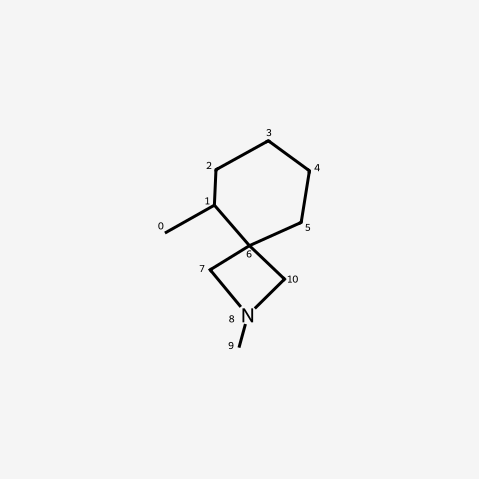 CC1CCCCC12CN(C)C2